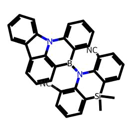 C[Si]1(C)c2cccc(C#N)c2N(B2c3ccccc3-n3c4ccccc4c4cccc2c43)c2c(C#N)cccc21